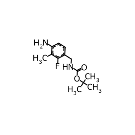 Cc1c(N)ccc(CNC(=O)OC(C)(C)C)c1F